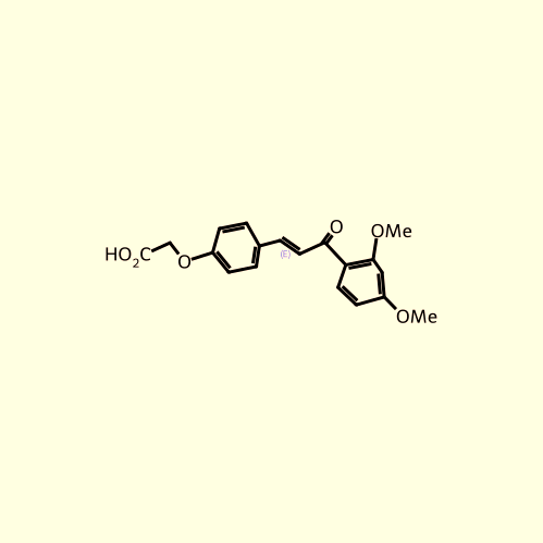 COc1ccc(C(=O)/C=C/c2ccc(OCC(=O)O)cc2)c(OC)c1